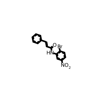 O=C(/C=C/c1ccccc1)Nc1cc([N+](=O)[O-])ccc1Br